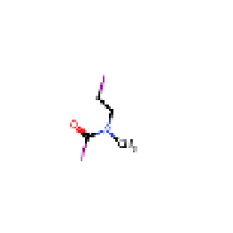 CN(CCI)C(=O)I